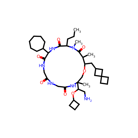 CCCC1C(=O)NC(C2CCCCCC2)C(=O)NCC(=O)NCC(=O)NC(C)(C(CN)OC2CCC2)COC(CC2CC3(CCC3)C2)C(C)C(=O)N1C